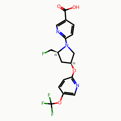 O=C(O)c1ccc(N2C[C@@H](Oc3ccc(OC(F)(F)F)cn3)C[C@H]2CF)nc1